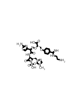 CN1C=NN(C[C@@H]2[C@H](NC(=O)/C(=N\O[C@@H](COc3ccc(C(=N)NCCN)cc3)C(=O)O)c3csc(N)n3)C(=O)N2S(=O)(=O)O)C1